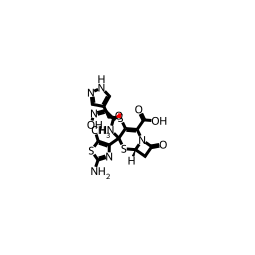 Cc1sc(N)nc1C1(NC(=O)/C=N\O)S[C@H]2CC(=O)N2C(C(=O)O)=C1SCc1cn[nH]c1